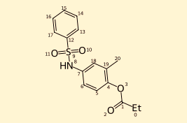 CCC(=O)Oc1ccc(NS(=O)(=O)c2ccccc2)cc1C